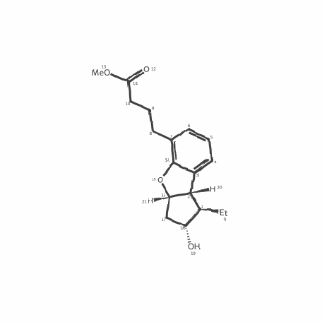 CC[C@@H]1[C@H]2c3cccc(CCCC(=O)OC)c3O[C@H]2C[C@H]1O